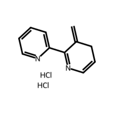 C=C1CC=CN=C1c1ccccn1.Cl.Cl